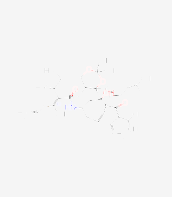 C=CS/C(C)=C(/C(=O)NC1CC=CC(C(=O)C(C=C)C(C)C)([C@H](C)CCC(C)C)C(O)(C2OC(C)(C)OCC2C)C1)C(C)CC